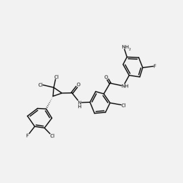 Nc1cc(F)cc(NC(=O)c2cc(NC(=O)C3[C@H](c4ccc(F)c(Cl)c4)C3(Cl)Cl)ccc2Cl)c1